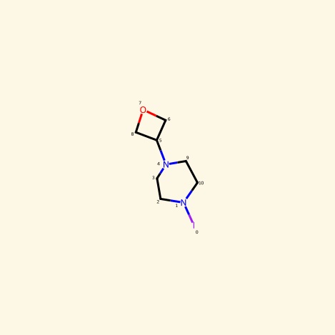 IN1CCN(C2COC2)CC1